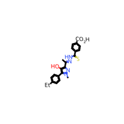 CCc1ccc(-c2c(O)c(/C(C)=N/NC(=S)c3ccc(C(=O)O)cc3)nn2C)cc1